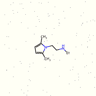 CCNCCn1c(C)ccc1C